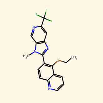 CCSc1c(-c2nc3cc(C(F)(F)F)ncc3n2C)ccc2ncccc12